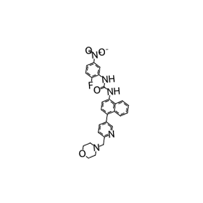 O=C(Nc1cc([N+](=O)[O-])ccc1F)Nc1ccc(-c2ccc(CN3CCOCC3)nc2)c2ccccc12